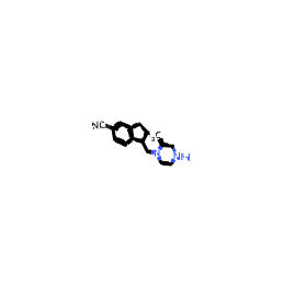 C=C1CNCCN1CC1CCc2cc(C#N)ccc21